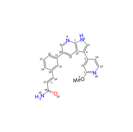 COc1cc(-c2c[nH]c3ncc(-c4cccc(/C=C/C(N)=O)c4)cc23)ccn1